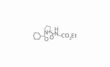 CCOC(=O)CNC(=O)[C@@H]1CCCN1C(=O)c1ccccc1